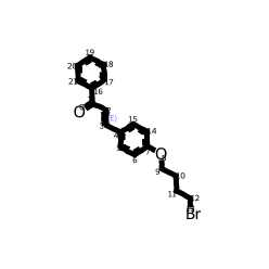 O=C(/C=C/c1ccc(OCCCCBr)cc1)c1ccccc1